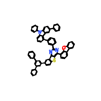 c1ccc(-c2cc(-c3ccccc3)cc(-c3ccc4sc5c(-c6cccc7c6oc6ccccc67)nc(-c6cccc(-c7cccc8c7c7cc(-c9ccccc9)ccc7n8-c7ccccc7)c6)nc5c4c3)c2)cc1